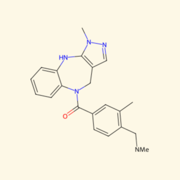 CNCc1ccc(C(=O)N2Cc3cnn(C)c3Nc3ccccc32)cc1C